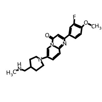 CNCC1CCN(c2ccc3nc(-c4ccc(OC)c(F)c4)cc(=O)n3c2)CC1